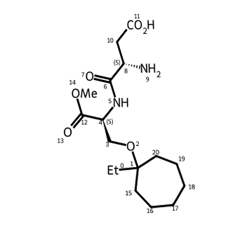 CCC1(OC[C@H](NC(=O)[C@@H](N)CC(=O)O)C(=O)OC)CCCCCC1